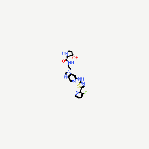 O=C(NCCn1cnc2cnc(Nc3ncc(-c4ncccc4F)s3)cc21)[C@H]1NCC[C@@H]1O